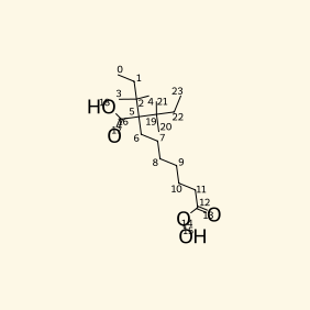 CCC(C)(C)C(CCCCCCC(=O)OO)(C(=O)O)C(C)(C)CC